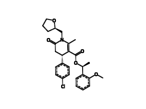 COc1ccccc1[C@H](C)OC(=O)C1=C(C)N(C[C@H]2CCCO2)C(=O)C[C@H]1c1ccc(Cl)cc1